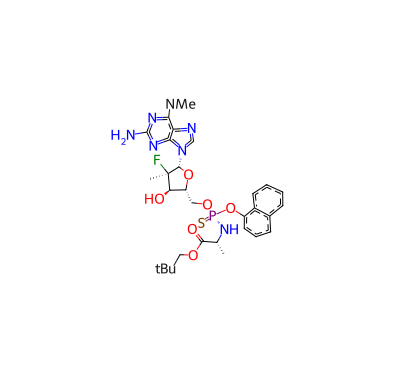 CNc1nc(N)nc2c1ncn2[C@@H]1O[C@H](CO[P@@](=S)(N[C@H](C)C(=O)OCC(C)(C)C)Oc2cccc3ccccc23)[C@@H](O)[C@@]1(C)F